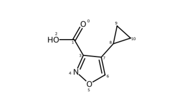 O=C(O)c1nocc1C1CC1